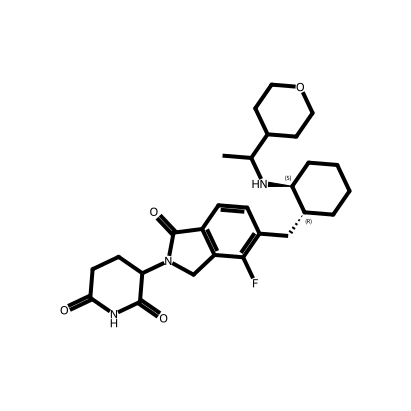 CC(N[C@H]1CCCC[C@@H]1Cc1ccc2c(c1F)CN(C1CCC(=O)NC1=O)C2=O)C1CCOCC1